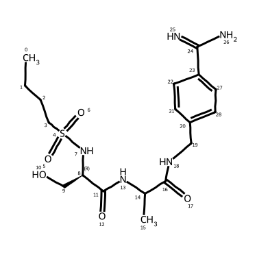 CCCCS(=O)(=O)N[C@H](CO)C(=O)NC(C)C(=O)NCc1ccc(C(=N)N)cc1